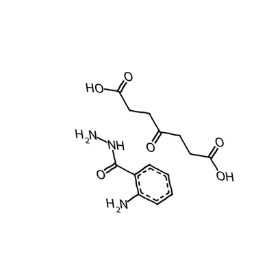 NNC(=O)c1ccccc1N.O=C(O)CCC(=O)CCC(=O)O